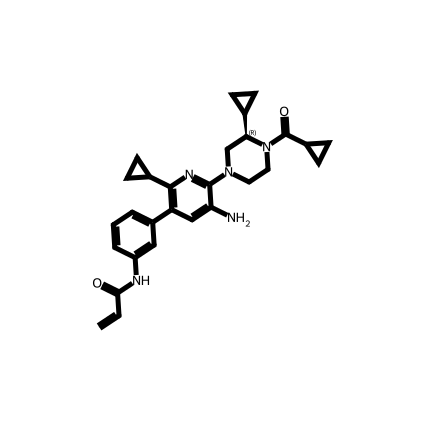 C=CC(=O)Nc1cccc(-c2cc(N)c(N3CCN(C(=O)C4CC4)[C@H](C4CC4)C3)nc2C2CC2)c1